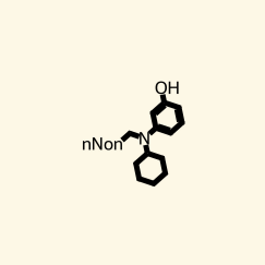 CCCCCCCCCCN(c1cccc(O)c1)C1CCCCC1